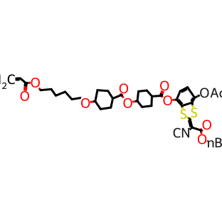 [C-]#[N+]/C(C(=O)OCCCC)=C1/Sc2c(OC(C)=O)ccc(OC(=O)C3CCC(OC(=O)C4CCC(OCCCCCCOC(=O)C=C)CC4)CC3)c2S1